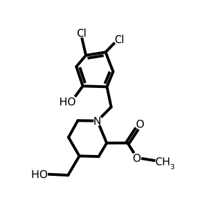 COC(=O)C1CC(CO)CCN1Cc1cc(Cl)c(Cl)cc1O